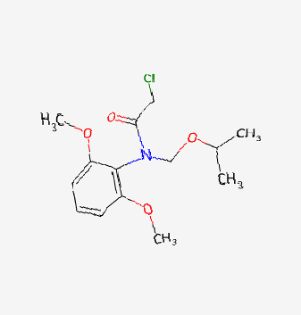 COc1cccc(OC)c1N(COC(C)C)C(=O)CCl